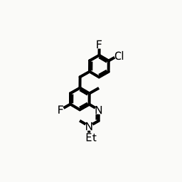 CCN(C)/C=N\c1cc(F)cc(Cc2ccc(Cl)c(F)c2)c1C